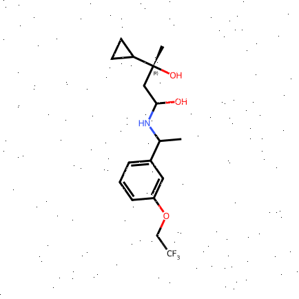 CC(NC(O)C[C@@](C)(O)C1CC1)c1cccc(OCC(F)(F)F)c1